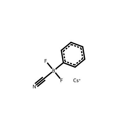 N#C[B-](F)(F)c1ccccc1.[Cs+]